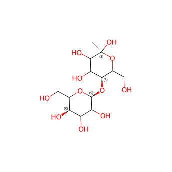 C[C@]1(O)OC(CO)[C@@H](O[C@@H]2OC(CO)[C@H](O)C(O)C2O)C(O)C1O